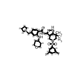 CC1(C)CN(S(=O)(=O)c2cc(F)cc(F)c2)Cc2c(NC(=O)c3ccc(CN4CCCC4)cc3NC3CCOCC3)n[nH]c21